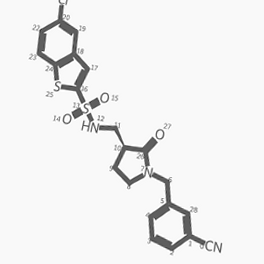 N#Cc1cccc(CN2CC[C@@H](CNS(=O)(=O)c3cc4cc(Cl)ccc4s3)C2=O)c1